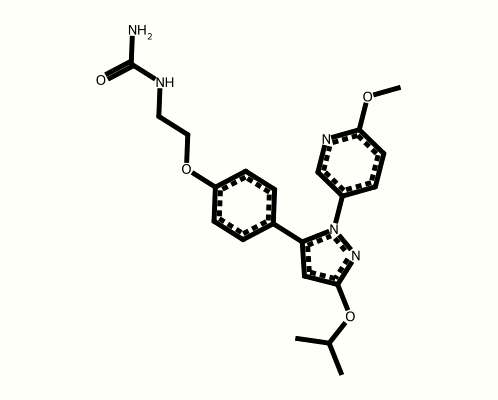 COc1ccc(-n2nc(OC(C)C)cc2-c2ccc(OCCNC(N)=O)cc2)cn1